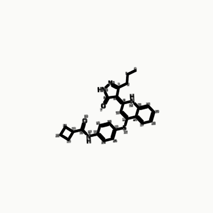 CCCC1=NNC(=O)C1=C1C=C(Sc2ccc(NC(=O)C3CCC3)cc2)c2ccccc2N1